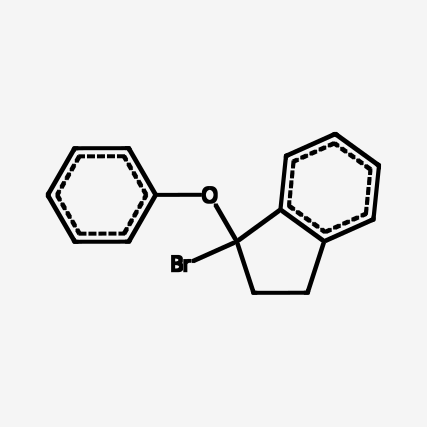 BrC1(Oc2ccccc2)CCc2ccccc21